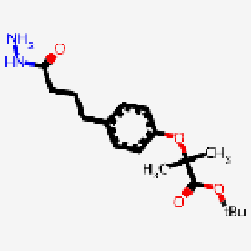 CC(C)(C)OC(=O)C(C)(C)Oc1ccc(CCCC(=O)NN)cc1